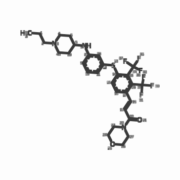 CCCN1CCC(Nc2cccc(Sc3ccc(C=CC(=O)N4CCOCC4)c(C(F)(F)F)c3C(F)(F)F)c2)CC1